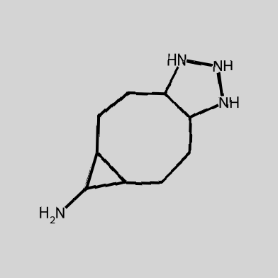 NC1C2CCC3NNNC3CCC12